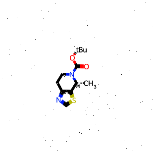 C[C@@H]1c2scnc2CCN1C(=O)OC(C)(C)C